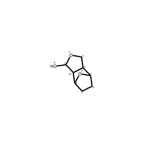 OC1OCC2C3CCC(O3)C12